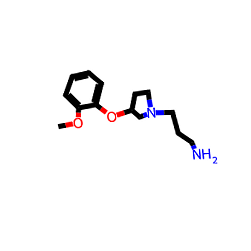 COc1ccccc1OC1CCN(CCCN)C1